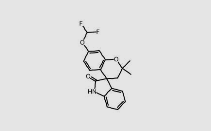 CC1(C)CC2(C(=O)Nc3ccccc32)c2ccc(OC(F)F)cc2O1